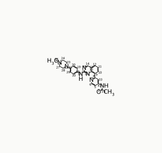 CC(=O)Nc1ccnc(-c2cccc3cnc(Nc4ccc(N5CCN(C)CC5)cc4)nc23)c1